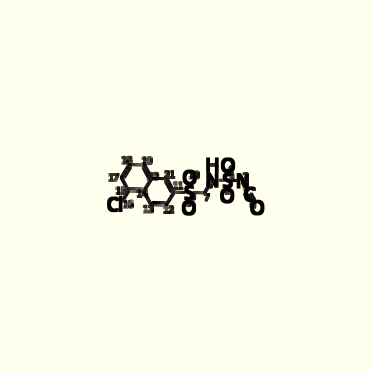 O=C=NS(=O)(=O)NCS(=O)(=O)c1ccc2c(Cl)cccc2c1